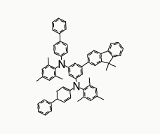 Cc1cc(C)c(N(C2=CCC(c3ccccc3)C=C2)c2cc(-c3ccc4c(c3)C(C)(C)c3ccccc3-4)cc(N(c3ccc(-c4ccccc4)cc3)c3c(C)cc(C)cc3C)c2)c(C)c1